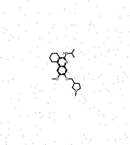 COc1cc2c3c(c(NC(C)C)nc2cc1OCC1CCN(C)C1)CCCC3